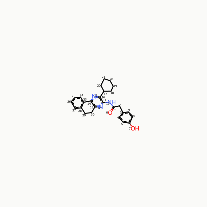 O=C(Cc1ccc(O)cc1)Nc1nc2c(nc1C1CCCCC1)-c1ccccc1CC2